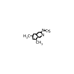 Cc1cc(C)c2cnc(N=C=S)cc2c1